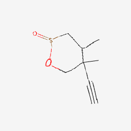 C#CC1(C)COS(=O)CC1C